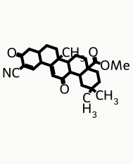 COC(=O)C12CCC3C(C(=O)C=C4C5C=C(C#N)C(=O)CC5CCC43C)C1CC(C)(C)CC2